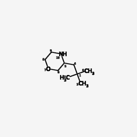 CC(C)(C)CC1COCCN1